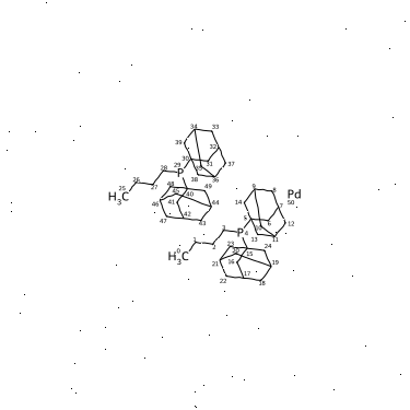 CCCCP(C12CC3CC(CC(C3)C1)C2)C12CC3CC(CC(C3)C1)C2.CCCCP(C12CC3CC(CC(C3)C1)C2)C12CC3CC(CC(C3)C1)C2.[Pd]